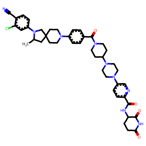 CC1CC2(CCN(c3ccc(C(=O)N4CCC(N5CCN(c6ccc(C(=O)NC7CCC(=O)NC7=O)nc6)CC5)CC4)cc3)CC2)CN1c1ccc(C#N)c(Cl)c1